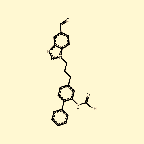 O=Cc1ccc2c(c1)nnn2CCCc1ccc(-c2ccccc2)c(NC(=O)O)c1